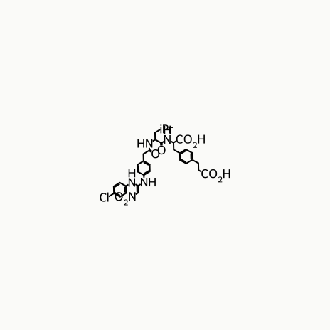 CC(C)CC(NC(=O)Cc1ccc(NC(=C[N+](=O)[O-])Nc2ccc(Cl)cc2)cc1)C(=O)NC(Cc1ccc(CCC(=O)O)cc1)C(=O)O